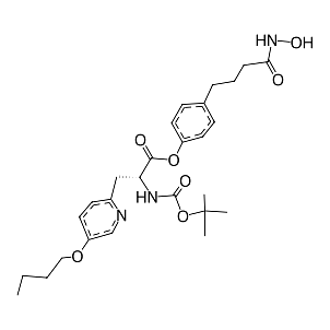 CCCCOc1ccc(C[C@@H](NC(=O)OC(C)(C)C)C(=O)Oc2ccc(CCCC(=O)NO)cc2)nc1